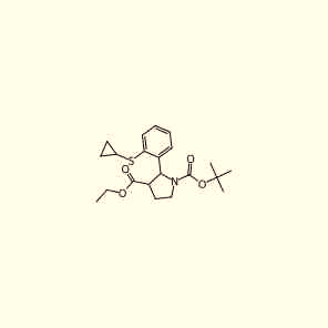 CCOC(=O)C1CCN(C(=O)OC(C)(C)C)C1c1ccccc1SC1CC1